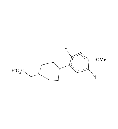 CCOC(=O)CN1CCC(c2cc(I)c(OC)cc2F)CC1